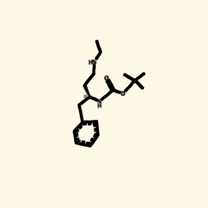 CCNCC[C@H](Cc1ccccc1)NC(=O)OC(C)(C)C